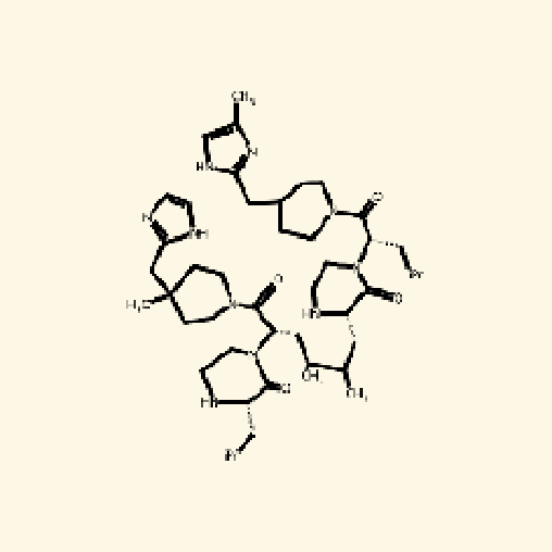 Cc1c[nH]c(CC2CCN(C(=O)[C@H](CC(C)C)N3CCN[C@@H](CC(C)C(C)C[C@@H](C(=O)N4CCC(C)(Cc5ncc[nH]5)CC4)N4CCN[C@@H](CC(C)C)C4=O)C3=O)CC2)n1